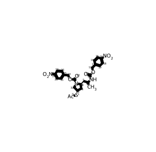 CC(=O)S[C@H]1C[C@H](CC(C)NC(=O)OCc2ccc([N+](=O)[O-])cc2)N(C(=O)OCc2ccc([N+](=O)[O-])cc2)C1